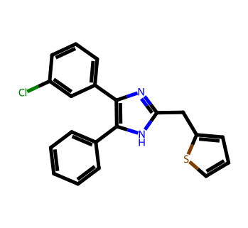 Clc1cccc(-c2nc(Cc3cccs3)[nH]c2-c2ccccc2)c1